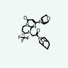 O=C(CN1c2nc(N3CC4CC3CO4)cc(=O)n2CC[C@H]1C(F)(F)F)N1CC2CCC(C1)O2